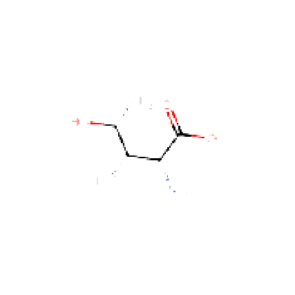 C[C@H]([C@@H](C)O)[C@@H](N)C(=O)O